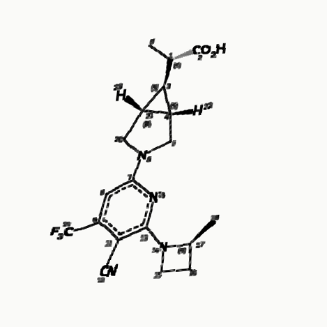 C[C@H](C(=O)O)[C@H]1[C@@H]2CN(c3cc(C(F)(F)F)c(C#N)c(N4CC[C@@H]4C)n3)C[C@@H]21